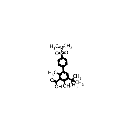 Cc1c(-c2ccc(S(=O)(=O)N(C)C)cc2)cc(C(C)(C)C)c(O)c1C(=O)O